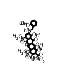 CN(C)c1cc(NCc2ccccc2OC(C)(C)C)c(O)c2c1C[C@@H]1C[C@H]3[C@@H](N(C)C)C(O)=C(C(N)=O)C(=O)[C@@]3(O)C(O)=C1C2=O